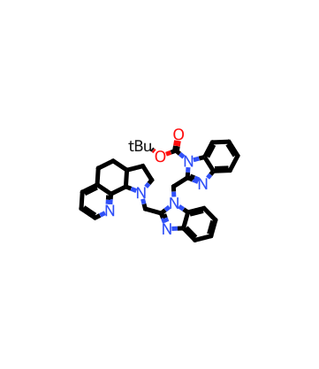 CC(C)(C)OC(=O)n1c(Cn2c(CN3CCC4CCc5cccnc5C43)nc3ccccc32)nc2ccccc21